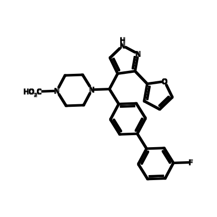 O=C(O)N1CCN(C(c2ccc(-c3cccc(F)c3)cc2)c2c[nH]nc2-c2ccco2)CC1